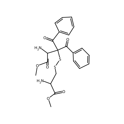 COC(=O)C(N)CSSC(C(=O)c1ccccc1)(C(=O)c1ccccc1)C(N)C(=O)OC